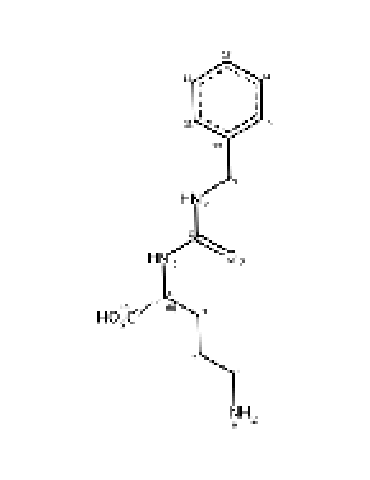 NCCC[C@@H](NC(=O)NCc1ccccc1)C(=O)O